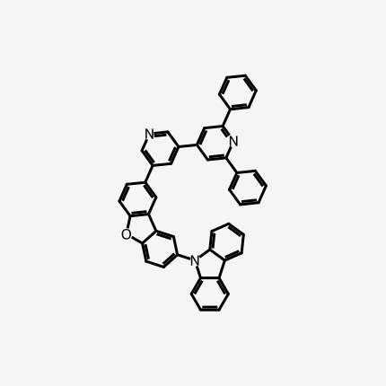 c1ccc(-c2cc(-c3cncc(-c4ccc5oc6ccc(-n7c8ccccc8c8ccccc87)cc6c5c4)c3)cc(-c3ccccc3)n2)cc1